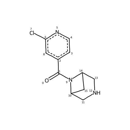 O=C(c1ccnc(Cl)c1)N1C2CNCC1C2